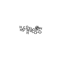 CCC(=O)N(CCNC(=O)C(C)CS)Cc1ccc(-c2ccccc2-c2nnn[nH]2)cc1